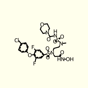 CN(CCN(CC(=O)NO)S(=O)(=O)c1cc(F)c(Oc2ccc(Cl)cc2)c(F)c1)S(=O)(=O)NC(=O)N1CCOCC1